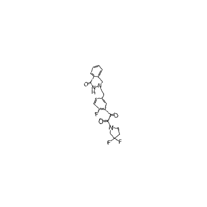 O=C(C(=O)N1CCC(F)(F)C1)c1cc(CN2Cc3ccccc3C(=O)N2)ccc1F